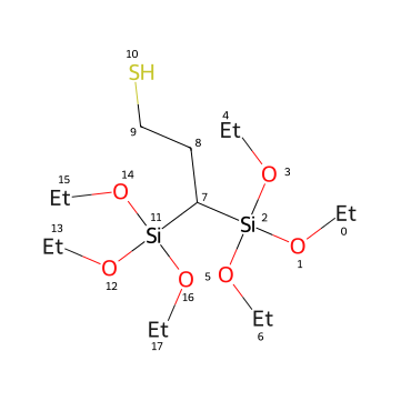 CCO[Si](OCC)(OCC)C(CCS)[Si](OCC)(OCC)OCC